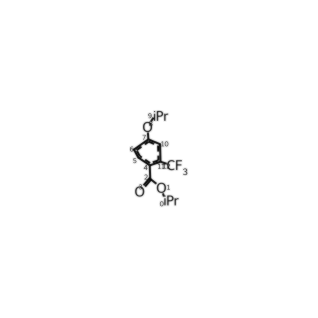 CC(C)OC(=O)c1ccc(OC(C)C)cc1C(F)(F)F